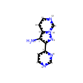 Nc1c(-c2ccncn2)nn2cnccc12